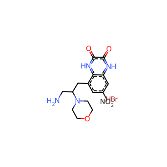 Br.NCC(Cc1cc([N+](=O)[O-])cc2[nH]c(=O)c(=O)[nH]c12)N1CCOCC1